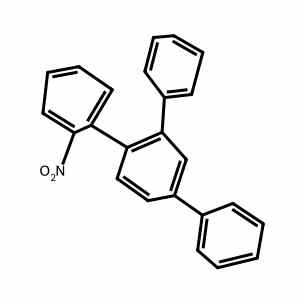 O=[N+]([O-])c1ccccc1-c1ccc(-c2ccccc2)cc1-c1ccccc1